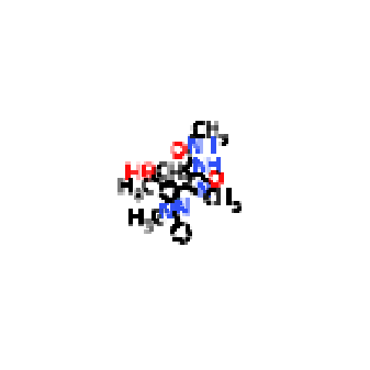 CCNC(=O)c1cc2c(-c3cc(C(C)(C)O)cc4c3nc(-c3ccccc3)n4C)cn(C)c(=O)c2[nH]1